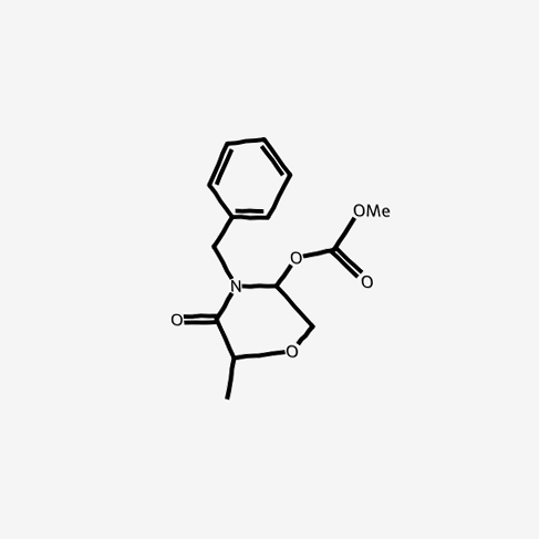 COC(=O)OC1COC(C)C(=O)N1Cc1ccccc1